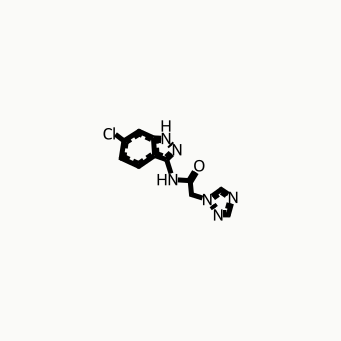 O=C(Cn1cncn1)Nc1n[nH]c2cc(Cl)ccc12